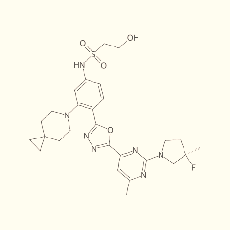 Cc1cc(-c2nnc(-c3ccc(NS(=O)(=O)CCO)cc3N3CCC4(CC3)CC4)o2)nc(N2CC[C@@](C)(F)C2)n1